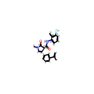 C=C(C)c1cccc([C@@H]2CN(C)C(=O)[C@H]2C(=O)Nc2cccc(F)c2C)c1